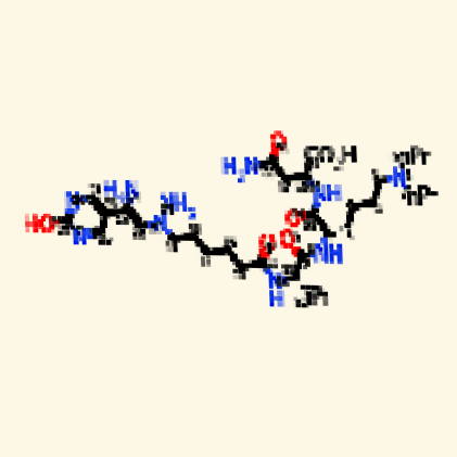 CCCN(CCC)CCCC[C@H](NC(=O)[C@@H](NC(=O)CCCCCN(N)/C=C(\N)c1cnc(O)nc1)C(C)C)C(=O)NC(CC(N)=O)C(=O)O